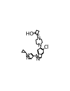 O[C@@H]1CC[C@H]1N1CCN(c2cc3c(cnn3-c3cnn(C4CC4)c3)cc2Cl)CC1